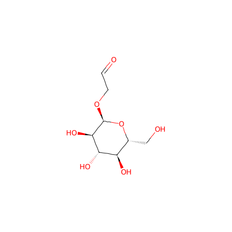 O=CCO[C@H]1O[C@H](CO)[C@@H](O)[C@H](O)[C@H]1O